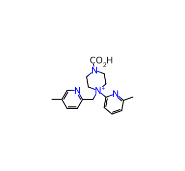 Cc1ccc(C[N+]2(c3cccc(C)n3)CCN(C(=O)O)CC2)nc1